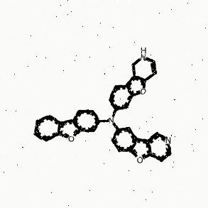 C1=Cc2oc3cc(N(c4ccc5c(c4)oc4ccccc45)c4ccc5oc6ccncc6c5c4)ccc3c2CN1